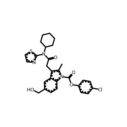 Cc1c(CC(=O)N(c2nccs2)C2CCCCC2)c2cc(CO)ccc2n1C(=O)Oc1ccc(Cl)cc1